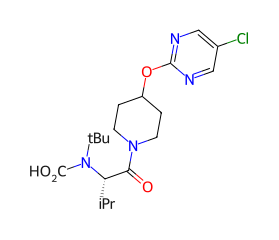 CC(C)[C@@H](C(=O)N1CCC(Oc2ncc(Cl)cn2)CC1)N(C(=O)O)C(C)(C)C